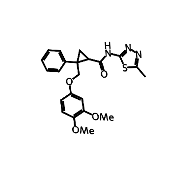 COc1ccc(OCC2(c3ccccc3)CC2C(=O)Nc2nnc(C)s2)cc1OC